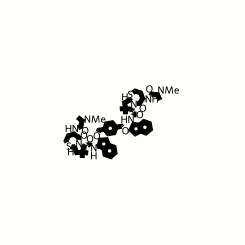 CN[C@@H](C)C(=O)N[C@H]1CCS[C@H]2CC(C)(C)[C@@H](C(=O)NC3c4ccccc4C[C@H]3OCc3ccc(CO[C@@H]4Cc5ccccc5[C@@H]4NC(=O)[C@H]4N5C(=O)[C@@H](NC(=O)[C@H](C)NC)CCS[C@H]5CC4(C)C)cc3)N2C1=O